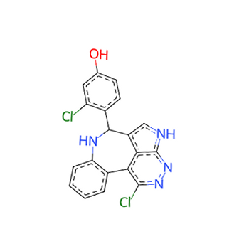 Oc1ccc(C2Nc3ccccc3-c3c(Cl)nnc4[nH]cc2c34)c(Cl)c1